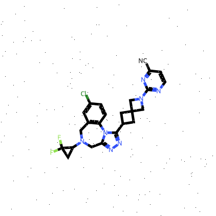 N#Cc1ccnc(N2CC3(CC(c4nnc5n4-c4ccc(Cl)cc4CN(C4CC4(F)F)C5)C3)C2)n1